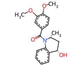 COc1ccc(C(=O)N2c3ccccc3[C@@H](O)C[C@H]2C)cc1OC